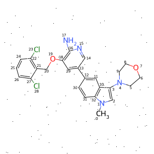 Cn1cc(N2CCOCC2)c2cc(-c3cnc(N)c(OCc4c(Cl)cccc4Cl)c3)ccc21